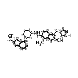 Cc1c(CNC2CCCN(c3ncnc4sc(CC(F)(F)F)cc34)C2)ccc2c1cc(C#N)n2Cc1cn[nH]c1